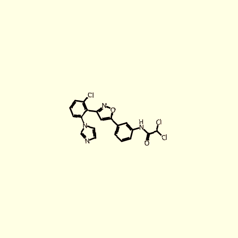 O=C(Nc1cccc(-c2cc(-c3c(Cl)cccc3-n3ccnc3)no2)c1)C(Cl)Cl